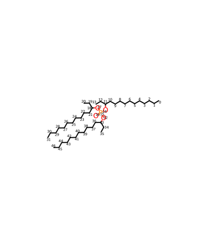 CCCCCCCCCCCC(CC)OP(=O)(OC(CC)CCCCCCCCCCC)OC(CC)CCCCCCCCCCC